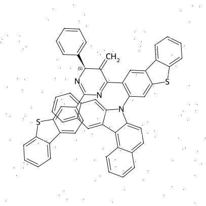 C=C1C(c2cc3c(cc2-n2c4cc5ccccc5cc4c4c5ccccc5ccc42)sc2ccccc23)=NC(c2ccc3c(c2)sc2ccccc23)=N[C@H]1c1ccccc1